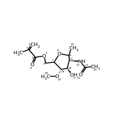 C=C(C)C(=O)OCC1OC(C)[C@@H](NC(C)=O)[C@@H](O)[C@@H]1OC